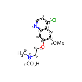 COc1cc2c(Cl)ccnc2cc1OCCN(C)C(=O)O